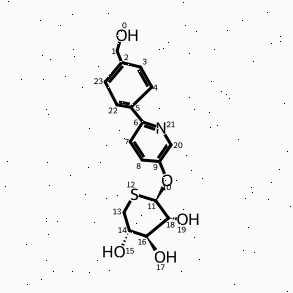 OCc1ccc(-c2ccc(O[C@@H]3SC[C@@H](O)[C@H](O)[C@H]3O)cn2)cc1